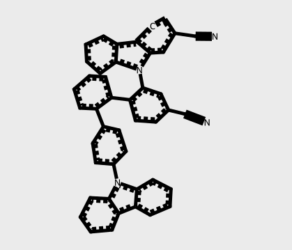 N#Cc1ccc(-c2ccccc2-c2ccc(-n3c4ccccc4c4ccccc43)cc2)c(-n2c3ccccc3c3ccc(C#N)cc32)c1